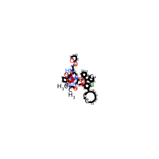 C[C@@H](C(=O)N(C1CCCCC1)[C@@H](CC(=O)OC(c1ccccc1)(c1ccc(C2CCCCCCCCCCC2)cc1)c1ccccc1Cl)C(=O)N1CCCCC1)N(C)C(=O)C1(NC(=O)CNCCOC2CCCCO2)CCCC1